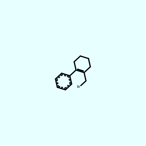 BrCC1=C(c2ccccc2)CCCC1